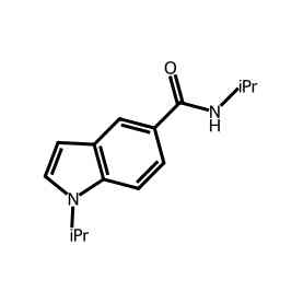 CC(C)NC(=O)c1ccc2c(ccn2C(C)C)c1